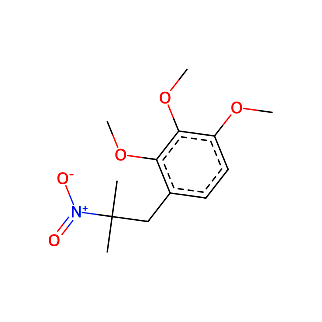 COc1ccc(CC(C)(C)[N+](=O)[O-])c(OC)c1OC